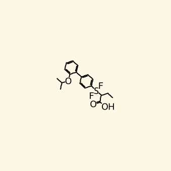 CCC(C(=O)O)S(F)(F)c1ccc(-c2ccccc2OC(C)C)cc1